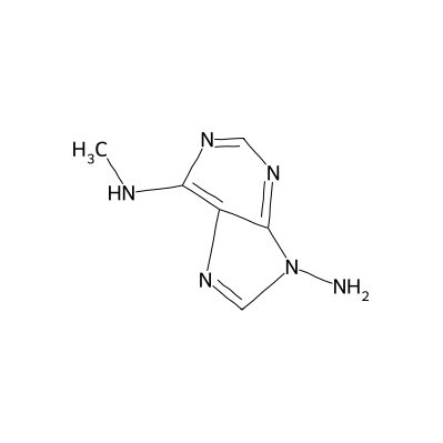 CNc1ncnc2c1ncn2N